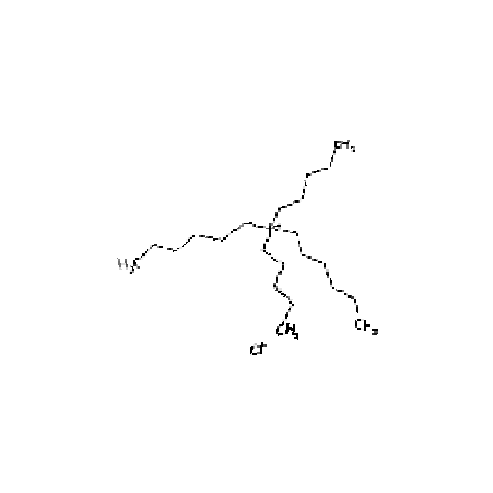 CCCCCC[P+](CCCCC)(CCCCC)CCCCCC.[Cl-]